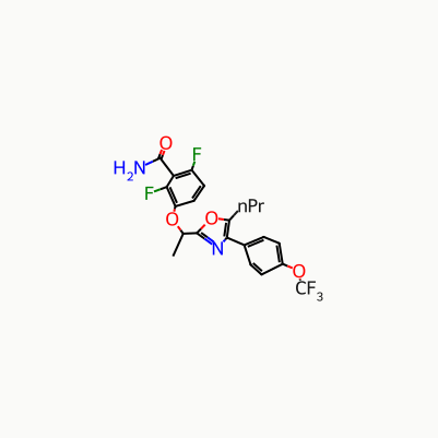 CCCc1oc(C(C)Oc2ccc(F)c(C(N)=O)c2F)nc1-c1ccc(OC(F)(F)F)cc1